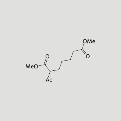 COC(=O)CCCCC(C(C)=O)C(=O)OC